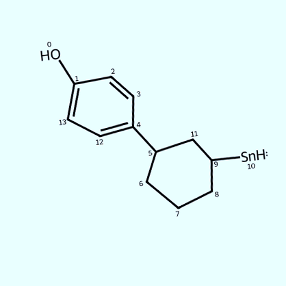 Oc1ccc(C2CCC[CH]([SnH])C2)cc1